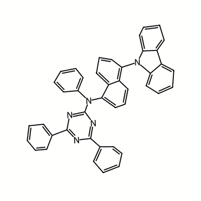 c1ccc(-c2nc(-c3ccccc3)nc(N(c3ccccc3)c3cccc4c(-n5c6ccccc6c6ccccc65)cccc34)n2)cc1